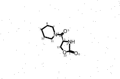 O=C1N[C@H](C(=O)N2CCCCC2)CO1